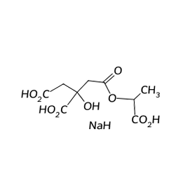 CC(OC(=O)CC(O)(CC(=O)O)C(=O)O)C(=O)O.[NaH]